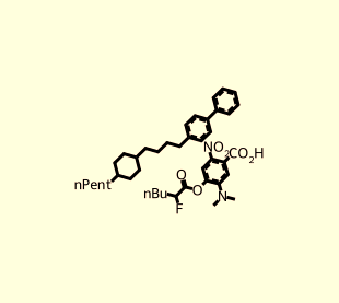 CCCCC(F)C(=O)Oc1cc([N+](=O)[O-])c(C(=O)O)cc1N(C)C.CCCCCC1CCC(CCCCc2ccc(-c3ccccc3)cc2)CC1